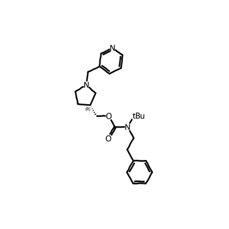 CC(C)(C)N(CCc1ccccc1)C(=O)OC[C@@H]1CCN(Cc2cccnc2)C1